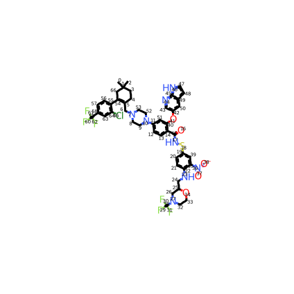 CC1(C)CCC(CN2CCN(c3ccc(C(=O)NSc4ccc(NCC5CN(C(F)(F)F)CCO5)c([N+](=O)[O-])c4)c(Oc4cnc5[nH]ccc5c4)c3)CC2)=C(c2ccc(C(F)(F)F)cc2Cl)C1